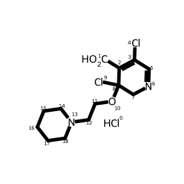 Cl.O=C(O)C1=C(Cl)C=NCC1(Cl)OCCN1CCCCC1